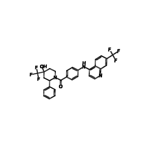 O=C(c1ccc(Nc2ccnc3cc(C(F)(F)F)ccc23)cc1)N1CCC(O)(C(F)(F)F)CC1c1ccccc1